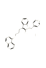 O=C(O)Oc1c(CCCOc2cccc3ccccc23)c2ccccc2n1Cc1ccncc1